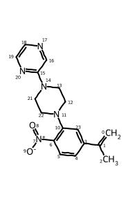 C=C(C)c1ccc([N+](=O)[O-])c(N2CCN(c3cnccn3)CC2)c1